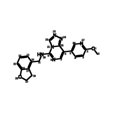 COc1ccc(-c2cnc(NCc3cccc4c3CCO4)n3cnnc23)cn1